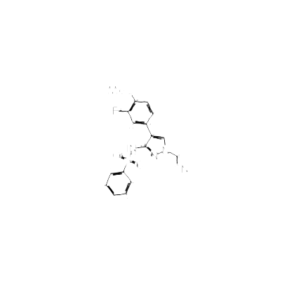 COc1ccc(-c2cn(CC#N)nc2NS(=O)(=O)c2ccccc2)cc1F